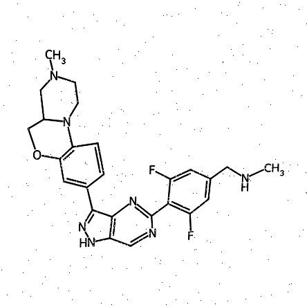 CNCc1cc(F)c(-c2ncc3[nH]nc(-c4ccc5c(c4)OCC4CN(C)CCN54)c3n2)c(F)c1